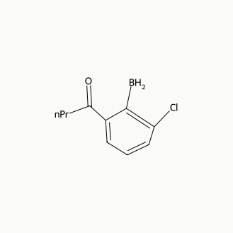 Bc1c(Cl)cccc1C(=O)CCC